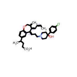 C=C1COc2ccc(C(C)CCC(=O)O)cc2C(=C/CCN2CCC(O)(c3ccc(Cl)cc3)CC2)/C1=C/C=C\C